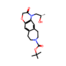 C[C@H](O)CN1C(=O)COc2cc3c(cc21)CCN(C(=O)OC(C)(C)C)CC3